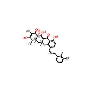 CCc1cccc(C/C=C\c2ccc(O)c3c2C[C@]2(C)C[C@]4(C)C(C(C)C)C(O)=C(C(C)=O)C(=O)[C@]4(O)C(O)=C2C3=O)c1C